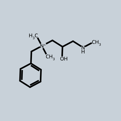 CNCC(O)C[N+](C)(C)Cc1ccccc1